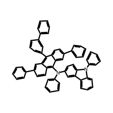 c1ccc(-c2cccc(-c3c4cc(-c5ccccc5)ccc4c(N(c4ccccc4)c4ccc5c(c4)c4ccccc4n5-c4ccccc4)c4cc(-c5ccccc5)ccc34)c2)cc1